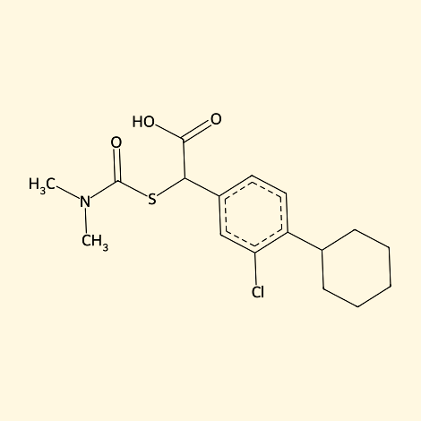 CN(C)C(=O)SC(C(=O)O)c1ccc(C2CCCCC2)c(Cl)c1